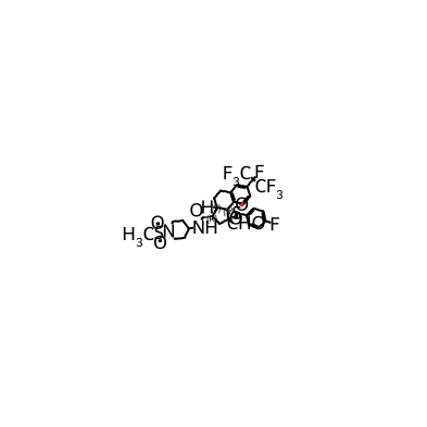 CS(=O)(=O)N1CCC(NC(=O)[C@@H]2CC(C=O)[C@]3(S(=O)(=O)c4ccc(F)cc4)c4ccc(C(F)(C(F)(F)F)C(F)(F)F)cc4CC[C@@H]23)CC1